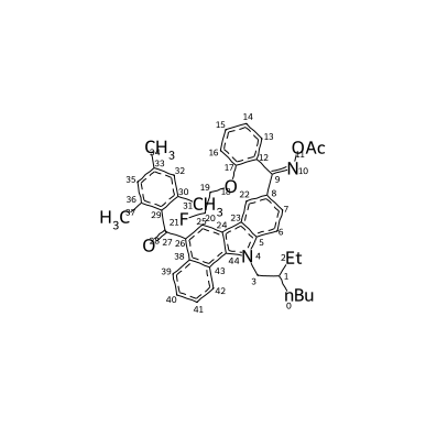 CCCCC(CC)Cn1c2ccc(/C(=N/OC(C)=O)c3ccccc3OCCF)cc2c2cc(C(=O)c3c(C)cc(C)cc3C)c3ccccc3c21